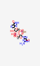 Nc1nc2c(ncn2[C@@H]2O[C@@H]3COP(=O)(O)OC4C(O)[C@H](c5cncc6c(=O)[nH]cnc56)O[C@@H]4COP(=O)(S)OC2C3O)c(=O)[nH]1